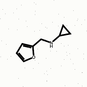 c1coc(CNC2CC2)c1